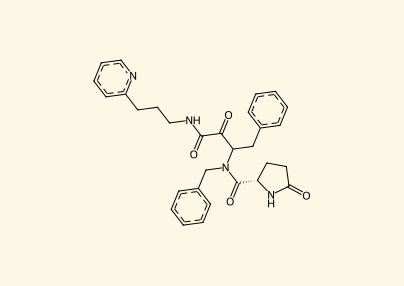 O=C1CC[C@@H](C(=O)N(Cc2ccccc2)C(Cc2ccccc2)C(=O)C(=O)NCCCc2ccccn2)N1